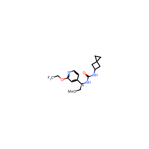 COC[C@H](NC(=O)NC1CC2(CC2)C1)c1ccnc(OCC(F)(F)F)c1